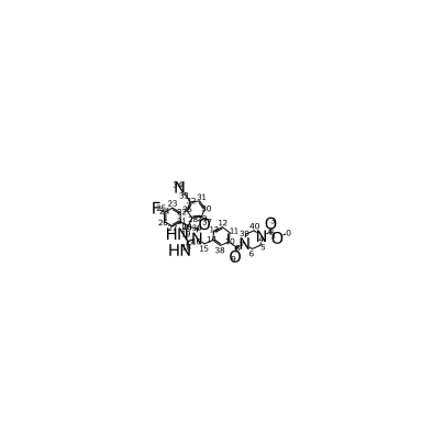 COC(=O)N1CCN(C(=O)c2cccc(CN3C(=N)N[C@](c4ccc(F)cc4)(c4cccc(C#N)c4)C3=O)c2)CC1